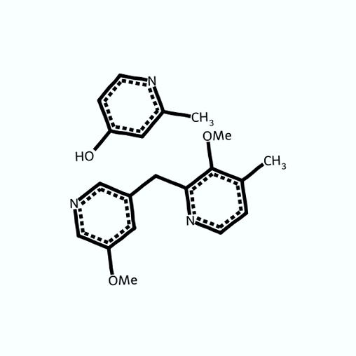 COc1cncc(Cc2nccc(C)c2OC)c1.Cc1cc(O)ccn1